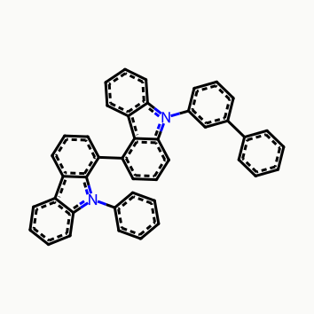 c1ccc(-c2cccc(-n3c4ccccc4c4c(-c5cccc6c7ccccc7n(-c7ccccc7)c56)cccc43)c2)cc1